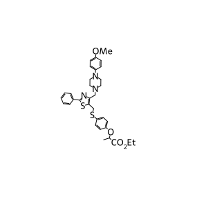 CCOC(=O)C(C)Oc1ccc(SCc2sc(-c3ccccc3)nc2CN2CCN(c3ccc(OC)cc3)CC2)cc1